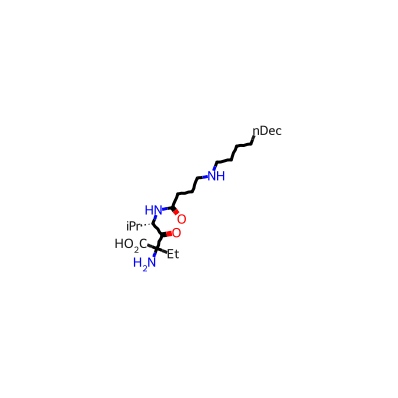 CCCCCCCCCCCCCCNCCCC(=O)N[C@H](C(=O)C(N)(CC)C(=O)O)C(C)C